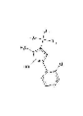 Cc1c(O)c(-c2ccccc2Cl)nn1C(C)(C)C